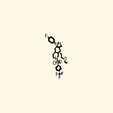 CCOCC[C@]12Cc3cnn(-c4ccc(F)cc4)c3C=C1CCN(S(=O)(=O)c1ccc(C(F)(F)F)cc1)C2